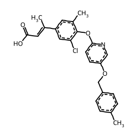 CC(=CC(=O)O)c1cc(C)c(Oc2ccc(OCc3ccc(C)cc3)cn2)c(Cl)c1